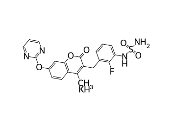 Cc1c(Cc2cccc(NS(N)(=O)=O)c2F)c(=O)oc2cc(Oc3ncccn3)ccc12.[KH]